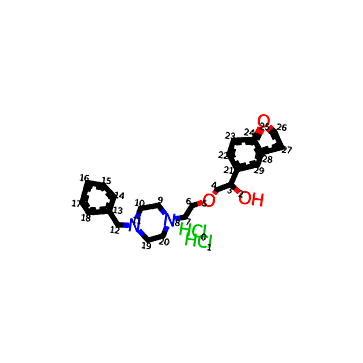 Cl.Cl.OC(COCCN1CCN(Cc2ccccc2)CC1)c1ccc2occc2c1